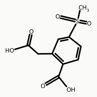 CS(=O)(=O)c1ccc(C(=O)O)c(CC(=O)O)c1